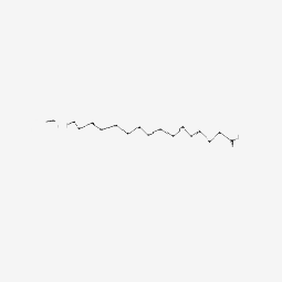 CCOCCCCCCCCCCCCCCCC(C)C